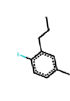 CCCc1cc(C)ccc1F